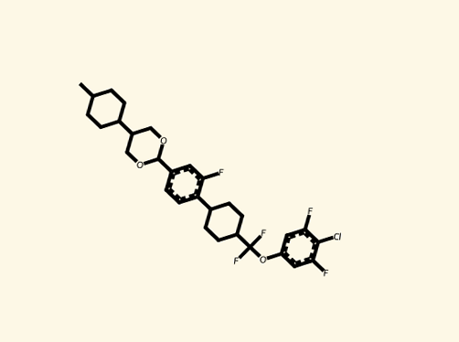 CC1CCC(C2COC(c3ccc(C4CCC(C(F)(F)Oc5cc(F)c(Cl)c(F)c5)CC4)c(F)c3)OC2)CC1